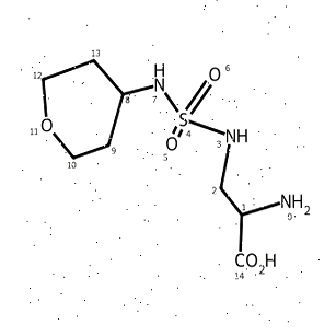 NC(CNS(=O)(=O)NC1CCOCC1)C(=O)O